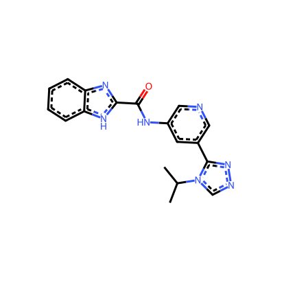 CC(C)n1cnnc1-c1cncc(NC(=O)c2nc3ccccc3[nH]2)c1